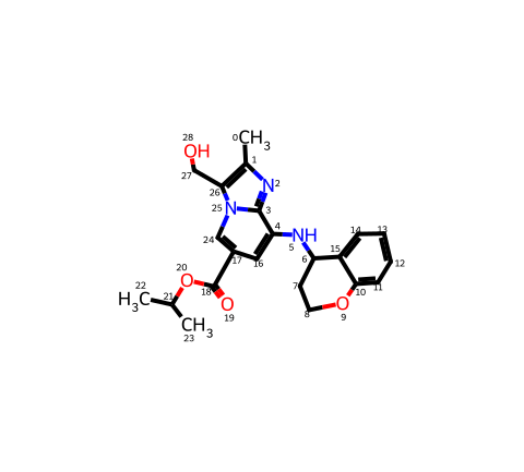 Cc1nc2c(NC3CCOc4ccccc43)cc(C(=O)OC(C)C)cn2c1CO